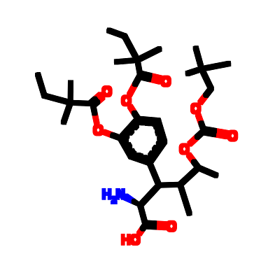 CCC(C)(C)C(=O)Oc1ccc(C(C(C)C(C)OC(=O)OCC(C)(C)C)[C@H](N)C(=O)O)cc1OC(=O)C(C)(C)CC